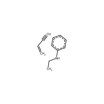 C#CC=C.CCNc1ccccc1